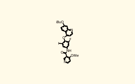 COc1ccncc1C(=O)Nc1cc(F)c(Oc2ccnc3cc(OCC(C)C)ccc23)c(I)c1